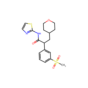 CS(=O)(=O)c1cccc(C(CC2CCOCC2)C(=O)Nc2nccs2)c1